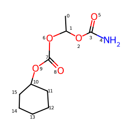 CC(OC(N)=O)OC(=O)OC1CCCCC1